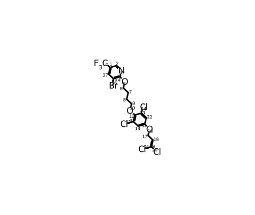 FC(F)(F)c1cnc(OCCCCOc2c(Cl)cc(OCC=C(Cl)Cl)cc2Cl)c(Br)c1